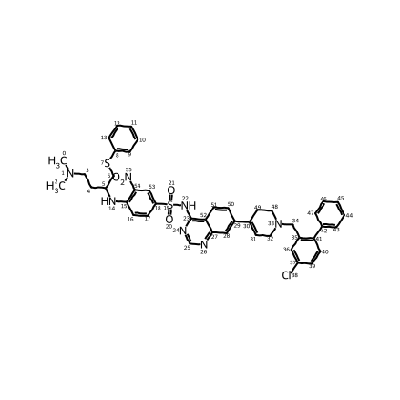 CN(C)CCC(CSc1ccccc1)Nc1ccc(S(=O)(=O)Nc2ncnc3cc(C4=CCN(Cc5cc(Cl)ccc5-c5ccccc5)CC4)ccc23)cc1[N+](=O)[O-]